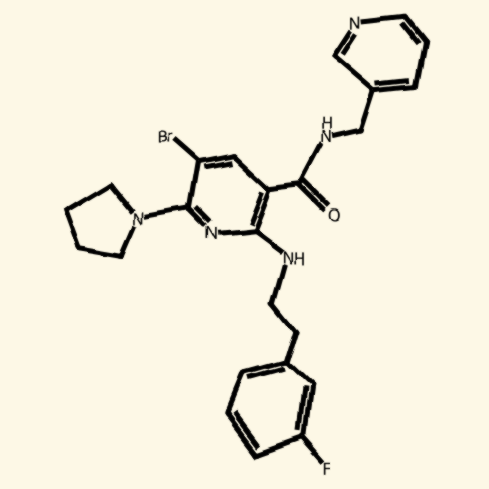 O=C(NCc1cccnc1)c1cc(Br)c(N2CCCC2)nc1NCCc1cccc(F)c1